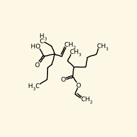 C=CC(CC)(CCCC)C(=O)O.C=COC(=O)C(CC)CCCC